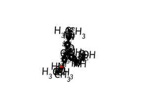 CN(C)c1ncc(-c2ccc(C[C@@H](C(N)=O)N(c3ccc(-c4nn[nH]n4)cc3)C(=O)[C@H]3CC[C@H](CNC(=O)OC(C)(C)C)CC3)cc2)cn1.O=C(O)C(F)(F)F